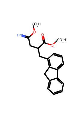 N=C(CC(Cc1cccc2c1Cc1ccccc1-2)C(=O)OC(=O)O)OC(=O)O